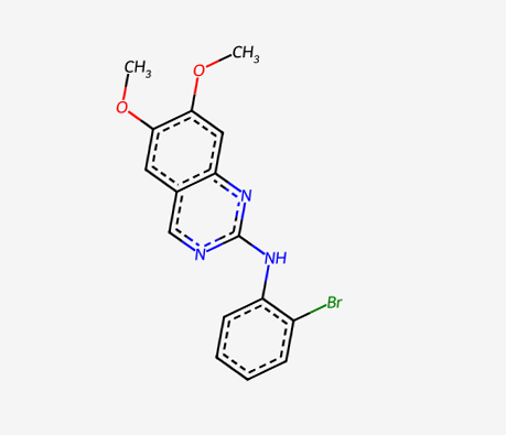 COc1cc2cnc(Nc3ccccc3Br)nc2cc1OC